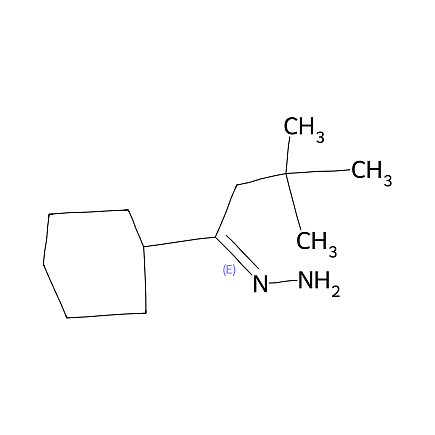 CC(C)(C)C/C(=N\N)C1CCCCC1